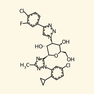 Cc1nc([C@@H]2O[C@H](CO)[C@H](O)[C@H](n3cc(-c4ccc(Cl)c(F)c4)nn3)[C@H]2O)n(-c2cc(Cl)ccc2C2CC2)n1